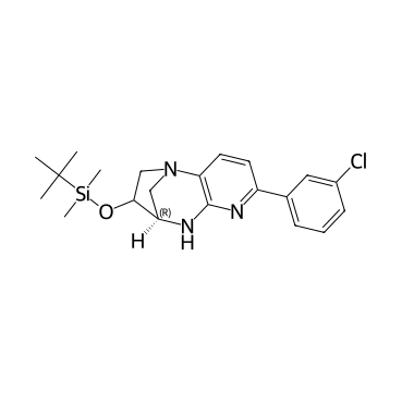 CC(C)(C)[Si](C)(C)OC1CN2C[C@H]1Nc1nc(-c3cccc(Cl)c3)ccc12